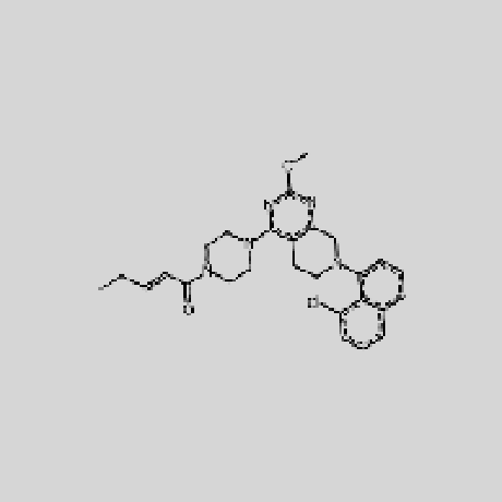 COc1nc2c(c(N3CCN(C(=O)/C=C/CF)CC3)n1)CCN(c1cccc3cccc(Cl)c13)C2